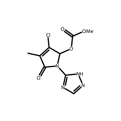 COC(=O)OC1C(Cl)=C(C)C(=O)N1c1ncn[nH]1